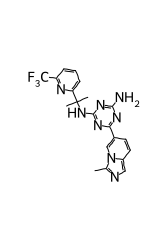 Cc1ncc2ccc(-c3nc(N)nc(NC(C)(C)c4cccc(C(F)(F)F)n4)n3)cn12